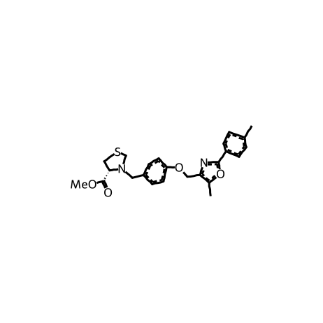 COC(=O)[C@@H]1CSCN1Cc1ccc(OCc2nc(-c3ccc(C)cc3)oc2C)cc1